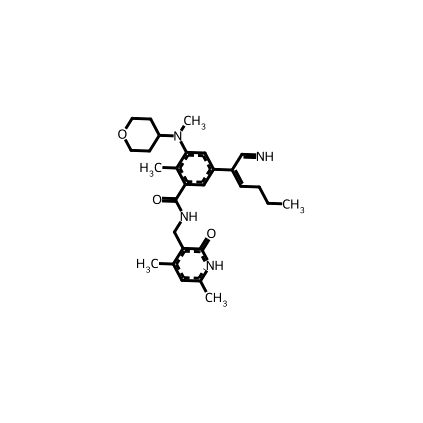 CCC/C=C(\C=N)c1cc(C(=O)NCc2c(C)cc(C)[nH]c2=O)c(C)c(N(C)C2CCOCC2)c1